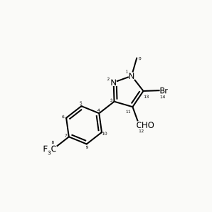 Cn1nc(-c2ccc(C(F)(F)F)cc2)c(C=O)c1Br